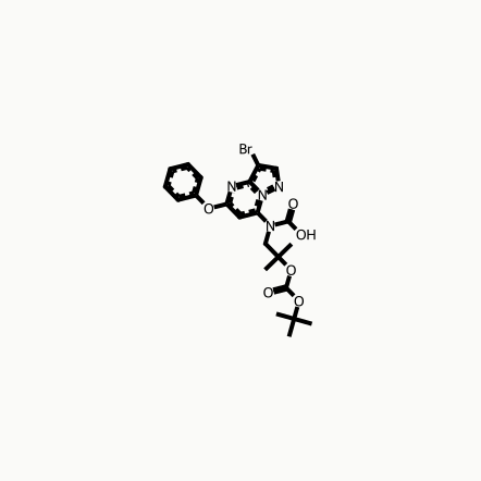 CC(C)(C)OC(=O)OC(C)(C)CN(C(=O)O)c1cc(Oc2ccccc2)nc2c(Br)cnn12